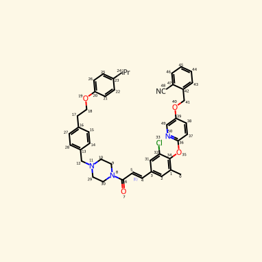 Cc1cc(/C=C/C(=O)N2CCN(Cc3ccc(CCOc4ccc(C(C)C)cc4)cc3)CC2)cc(Cl)c1Oc1ccc(OCc2ccccc2C#N)cn1